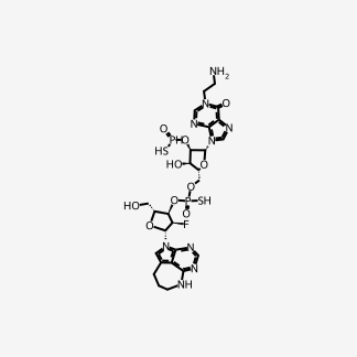 NCCn1cnc2c(ncn2[C@@H]2O[C@H](COP(=O)(S)O[C@H]3[C@@H](F)[C@H](n4cc5c6c(ncnc64)NCCC5)O[C@@H]3CO)[C@@H](O)[C@H]2O[PH](=O)S)c1=O